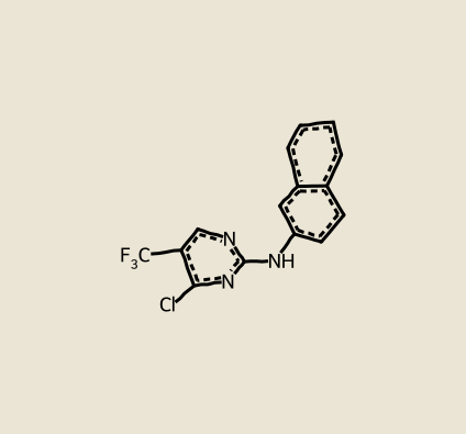 FC(F)(F)c1cnc(Nc2ccc3ccccc3c2)nc1Cl